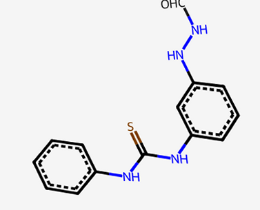 O=CNNc1cccc(NC(=S)Nc2ccccc2)c1